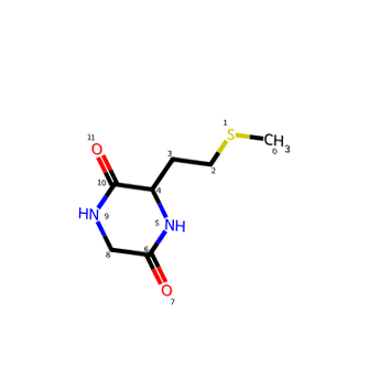 CSCCC1NC(=O)CNC1=O